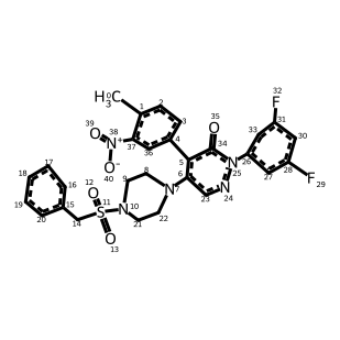 Cc1ccc(-c2c(N3CCN(S(=O)(=O)Cc4ccccc4)CC3)cnn(-c3cc(F)cc(F)c3)c2=O)cc1[N+](=O)[O-]